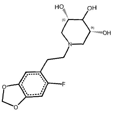 OC1[C@H](O)CN(CCc2cc3c(cc2F)OCO3)C[C@@H]1O